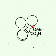 COC(=O)C(=C(C(=O)O)C1CCCCCCCCCCC1)C(C1CCCCCCCCCCC1)(C1CCCCCCCCCCC1)C1CCCCCCCCCCC1